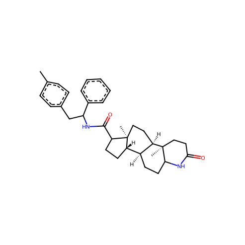 Cc1ccc(CC(NC(=O)C2CC[C@H]3[C@@H]4CCC5NC(=O)CC[C@]5(C)[C@@H]4CC[C@]23C)c2ccccc2)cc1